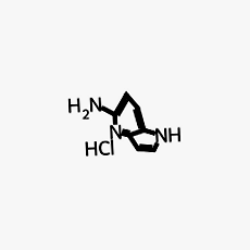 Cl.Nc1ccc2[nH]ccc2n1